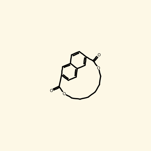 O=C1OCCCCCCOC(=O)c2ccc3cc1ccc3c2